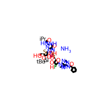 CC(C)C(=O)Nc1nc2c(ncn2[C@@H]2S[C@H](CO)[C@@H](O[Si](C)(C)C(C)(C)C)[C@H]2OP(O)(=S)OC[C@H]2O[C@@H](n3cnc4c(NC(=O)c5ccccc5)ncnc43)[C@@H](F)[C@@H]2O)c(=O)[nH]1.N